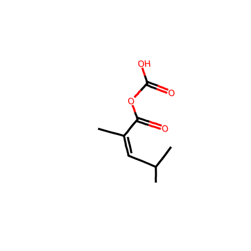 CC(=CC(C)C)C(=O)OC(=O)O